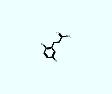 N=C(N)CCc1cc(F)ccc1Br